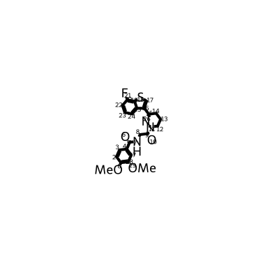 COc1ccc(C(=O)NCC(=O)N2CCCC(c3csc4c(F)cccc34)=N2)cc1OC